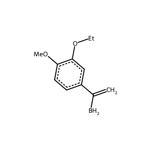 BC(=C)c1ccc(OC)c(OCC)c1